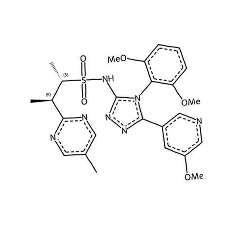 COc1cncc(-c2nnc(NS(=O)(=O)[C@@H](C)[C@H](C)c3ncc(C)cn3)n2-c2c(OC)cccc2OC)c1